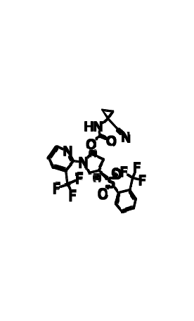 N#CC1(NC(=O)O[C@@H]2C[C@@H](S(=O)(=O)c3ccccc3C(F)(F)F)CN2c2ncccc2C(F)(F)F)CC1